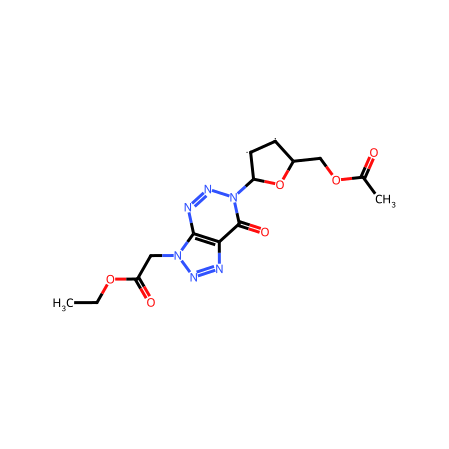 CCOC(=O)Cn1nnc2c(=O)n(C3[CH][CH]C(COC(C)=O)O3)nnc21